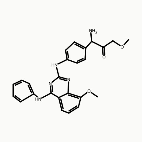 COCC(=O)C(N)c1ccc(Nc2nc(Nc3ccccc3)c3cccc(OC)c3n2)cc1